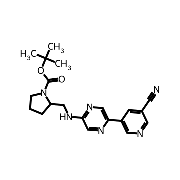 CC(C)(C)OC(=O)N1CCCC1CNc1cnc(-c2cncc(C#N)c2)cn1